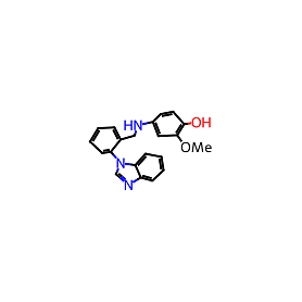 COc1cc(NCc2ccccc2-n2cnc3ccccc32)ccc1O